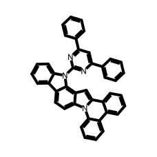 c1ccc(-c2cc(-c3ccccc3)nc(-n3c4ccccc4c4ccc5c(cc6c7ccccc7c7ccccc7n65)c43)n2)cc1